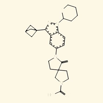 O=C(O)N1CCC2(CCN(c3ccc4c(c3)c(C35CC(C3)C5)nn4C3CCCCO3)C2=O)C1